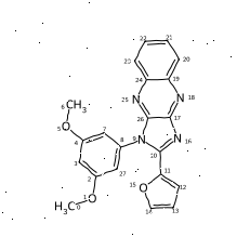 COc1cc(OC)cc(-n2c(-c3ccco3)nc3nc4ccccc4nc32)c1